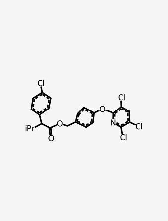 CC(C)C(C(=O)OCc1ccc(Oc2nc(Cl)c(Cl)cc2Cl)cc1)c1ccc(Cl)cc1